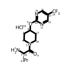 CC(C)[C@H](N)C(=O)N1CCC(Oc2ncc(C(F)(F)F)cn2)CC1.Cl